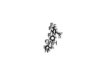 O=C(Nc1ccc(-n2nc(C(F)(F)F)cc2C2CC2)c(F)c1)c1ccncc1F